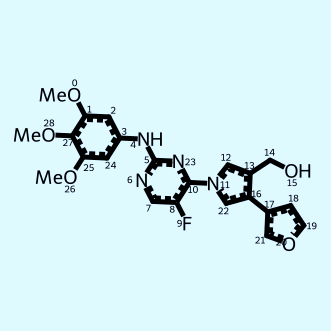 COc1cc(Nc2ncc(F)c(-n3cc(CO)c(-c4ccoc4)c3)n2)cc(OC)c1OC